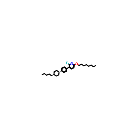 CCCCCCCCOc1ccc(-c2ccc([C@H]3CC[C@H](CCCCC)CC3)cc2)c(F)n1